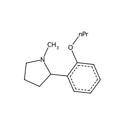 CCCOc1ccccc1C1CCCN1C